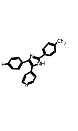 Fc1ccc(-c2nc(-c3ccc(C(F)(F)F)cc3)[nH]c2-c2ccncc2)cc1